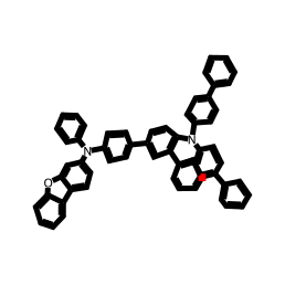 c1ccc(-c2ccc(N(c3ccc(-c4ccccc4)cc3)c3ccc(-c4ccc(N(c5ccccc5)c5ccc6c(c5)oc5ccccc56)cc4)cc3-c3ccccc3)cc2)cc1